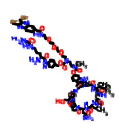 CC[C@@H]1NC(=O)CNC(=O)[C@H]([C@@H](C)CC)NC(=O)CNC(=O)[C@@H](Cc2c(C)[nH]c3cc(OC(=O)N(C)CCN(CCOCCOCCOCCNC(=O)c4ccc5nc(CBr)c(CBr)nc5c4)C(=O)OCc4ccc(NC(=O)[C@@H](N)CCCNC(N)=O)cc4)ccc23)NC(=O)[C@H]([C@@H](C)[C@@H](O)CO)NC(=O)[C@@H]2CCCN2C(=O)[C@H](CC(N)=O)NC1=O